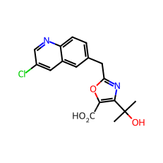 CC(C)(O)c1nc(Cc2ccc3ncc(Cl)cc3c2)oc1C(=O)O